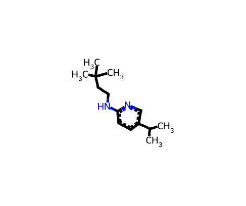 CC(C)c1ccc(NCCC(C)(C)C)nc1